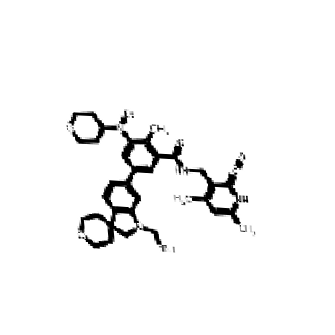 CCN(c1cc(-c2ccc3c(c2)N(CC(C)(C)C)CC32CCOCC2)cc(C(=O)NCC2=C(C)C=C(C)NC2=C=O)c1C)C1CCOCC1